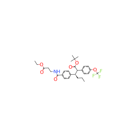 CCC[C@@H](c1ccc(C(=O)NCCC(=O)OCC)cc1)C(C(=O)OC(C)(C)C)c1ccc(OC(F)(F)F)cc1